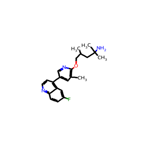 Cc1cc(-c2ccnc3ccc(F)cc23)cnc1OCC(C)CC(C)(C)N